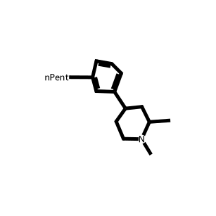 CCCCCc1cccc(C2CCN(C)C(C)C2)c1